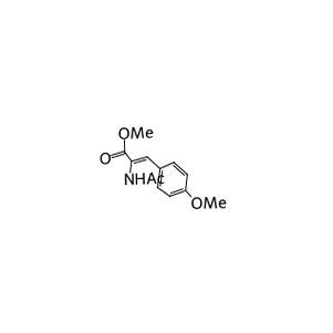 COC(=O)/C(=C/c1ccc(OC)cc1)NC(C)=O